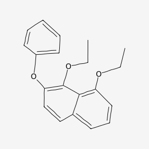 CCOc1cccc2ccc(Oc3ccccc3)c(OCC)c12